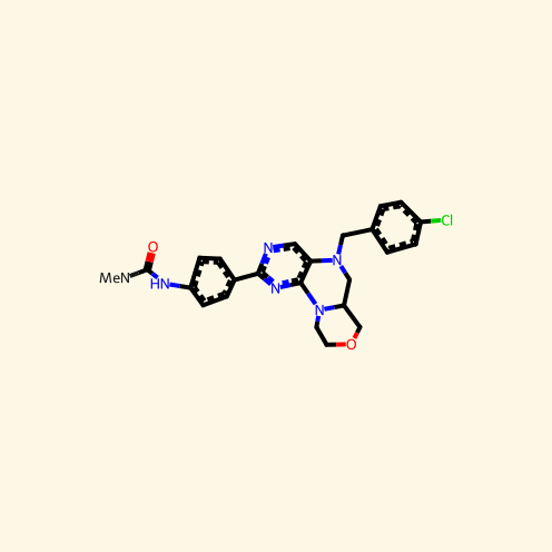 CNC(=O)Nc1ccc(-c2ncc3c(n2)N2CCOCC2CN3Cc2ccc(Cl)cc2)cc1